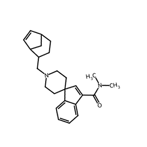 CN(C)C(=O)C1=CC2(CCN(CC3CCC4C=CC3C4)CC2)c2ccccc21